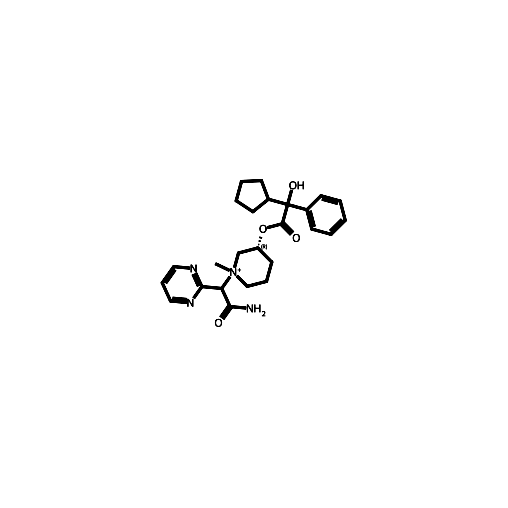 C[N+]1(C(C(N)=O)c2ncccn2)CCC[C@@H](OC(=O)C(O)(c2ccccc2)C2CCCC2)C1